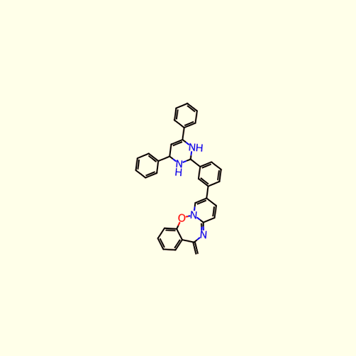 C=C1N=C2C=CC(c3cccc(C4NC(c5ccccc5)=CC(c5ccccc5)N4)c3)=CN2Oc2ccccc21